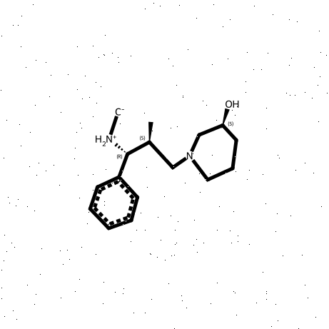 [CH2-][NH2+][C@@H](c1ccccc1)[C@@H](C)CN1CCC[C@H](O)C1